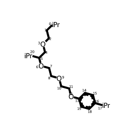 CC(C)CCOCC(OCCOCCOc1ccc(C(C)C)cc1)C(C)C